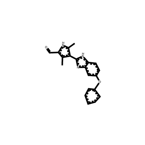 Cc1[nH]c(C=O)c(C)c1-c1nc2cc(Oc3ccccc3)ccc2[nH]1